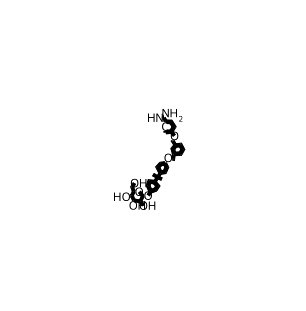 CC(C)(c1ccc(OCc2cccc(COc3ccc(C(=N)N)cc3)c2)cc1)c1ccc(OC2OC(CO)C(O)C(O)C2O)cc1